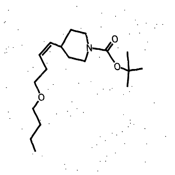 CCCCOCC/C=C\C1CCN(C(=O)OC(C)(C)C)CC1